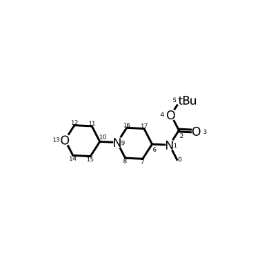 CN(C(=O)OC(C)(C)C)C1CCN(C2CCOCC2)CC1